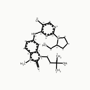 Cn1c(=O)n(CCC(C)(C)O)c2cc(Nc3nc(N4CCCC4CO)ncc3Cl)ccc21